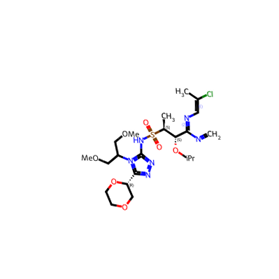 C=N/C(=N\C=C(/C)Cl)[C@H](OC(C)C)[C@H](C)S(=O)(=O)Nc1nnc([C@@H]2COCCO2)n1C(COC)COC